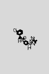 Cc1cnc(N[C@H]2CC[C@H](NC(=O)[C@@H]3C[C@@H]3c3cccc(Cl)c3)CC2)nc1N(C)C